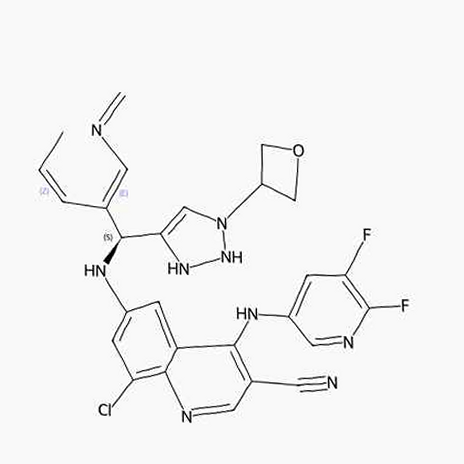 C=N/C=C(\C=C/C)[C@H](Nc1cc(Cl)c2ncc(C#N)c(Nc3cnc(F)c(F)c3)c2c1)C1=CN(C2COC2)NN1